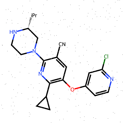 CC(C)[C@@H]1CN(c2nc(C3CC3)c(Oc3ccnc(Cl)c3)cc2C#N)CCN1